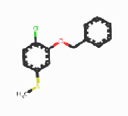 CSc1ccc(Cl)c(OCc2ccccc2)c1